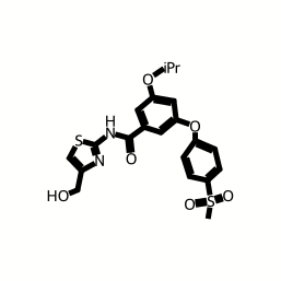 CC(C)Oc1cc(Oc2ccc(S(C)(=O)=O)cc2)cc(C(=O)Nc2nc(CO)cs2)c1